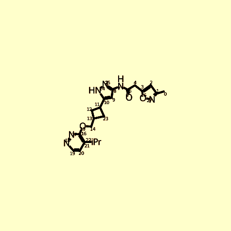 Cc1cc(CC(=O)Nc2cc(C3CC(COc4nnccc4C(C)C)C3)[nH]n2)on1